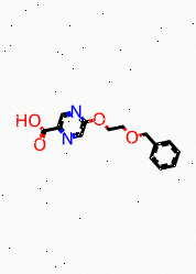 O=C(O)c1cnc(OCCOCc2ccccc2)cn1